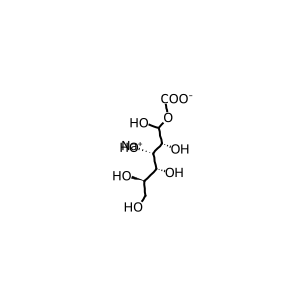 O=C([O-])OC(O)[C@H](O)[C@@H](O)[C@H](O)[C@H](O)CO.[Na+]